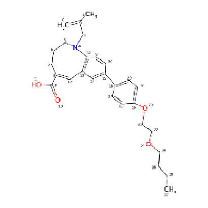 C=C(C)CN1CCCC(C(=O)O)=Cc2cc(-c3ccc(OCCOCCCC)cc3)ccc21